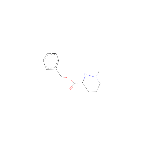 CC(=O)N1CCC[C@H](C(=O)OCc2ccccc2)N1